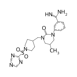 CC1CN(CC2CCN(S(=O)(=O)c3ncncn3)CC2)C(=O)N(c2cccc(C(=N)N)c2)C1